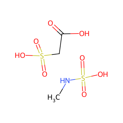 CNS(=O)(=O)O.O=C(O)CS(=O)(=O)O